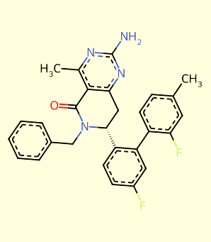 Cc1ccc(-c2cc(F)ccc2[C@H]2Cc3nc(N)nc(C)c3C(=O)N2Cc2ccccc2)c(F)c1